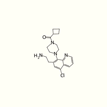 NCCc1cc(Cl)c2cccnc2c1N1CCN(C(=O)C2CCC2)CC1